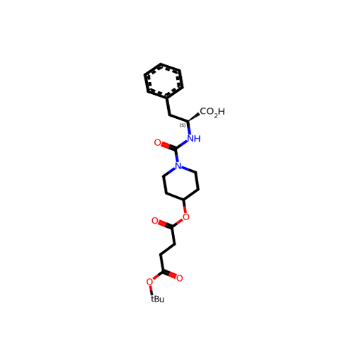 CC(C)(C)OC(=O)CCC(=O)OC1CCN(C(=O)N[C@@H](Cc2ccccc2)C(=O)O)CC1